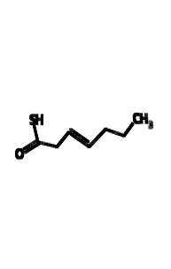 CCCC=CCC(=O)S